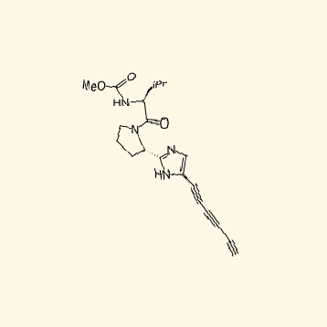 C#CC#CC#Cc1cnc([C@@H]2CCCN2C(=O)[C@@H](NC(=O)OC)C(C)C)[nH]1